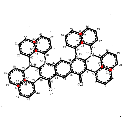 O=c1c(-c2ccccc2)c(N(c2ccccc2)c2ccccc2)n(-c2ccccc2)c2cc3c(cc12)c(=O)c(-c1ccccc1)c(N(c1ccccc1)c1ccccc1)n3-c1ccccc1